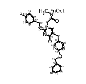 CCCCCCCCN(C)C(=O)Cn1cc(Cc2cnc(OCc3ccccc3)nc2)c(=O)nc1SCc1ccc(F)cc1